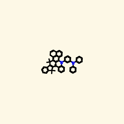 CC1(C)C2=C(c3ccccc31)C(C)(C)c1c3c(c4cccc5c4c1CC=C5)N(c1cccc(N(c4ccccc4)c4ccccc4)c1)c1ccccc1B23